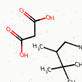 CC([CH2][Na])C(C)(C)C.O=C(O)CC(=O)O